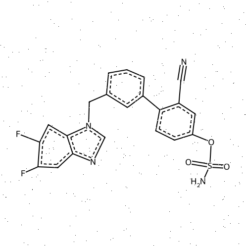 N#Cc1cc(OS(N)(=O)=O)ccc1-c1cccc(Cn2cnc3cc(F)c(F)cc32)c1